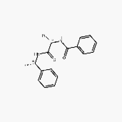 CC(C)[C@H](NC(=O)c1ccccc1)C(=O)N[C@@H](C)c1ccccc1